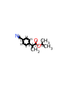 C=C(C(=O)OC(C)C)c1ccc(C#N)cc1